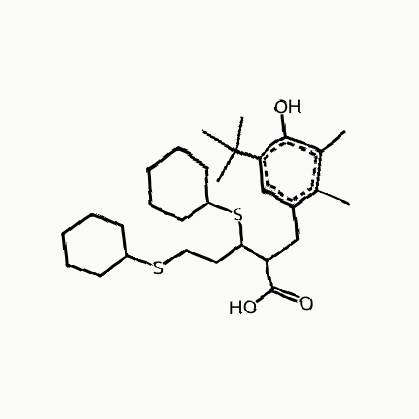 Cc1c(CC(C(=O)O)C(CCSC2CCCCC2)SC2CCCCC2)cc(C(C)(C)C)c(O)c1C